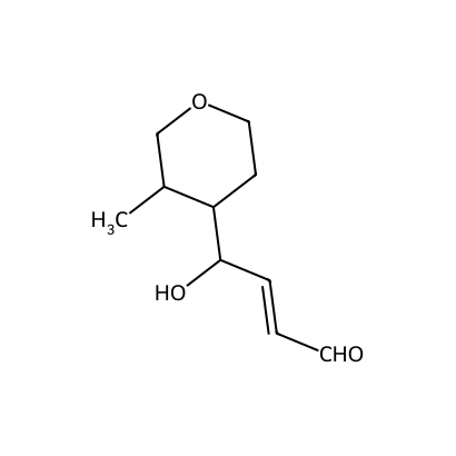 CC1COCCC1C(O)C=CC=O